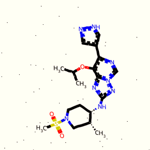 CC(C)Oc1c(-c2cn[nH]c2)ncn2nc(N[C@H]3CCN(S(C)(=O)=O)C[C@H]3C)nc12